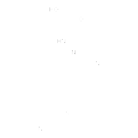 N#CSc1ccc2c(c1)ncn2NC(=O)O